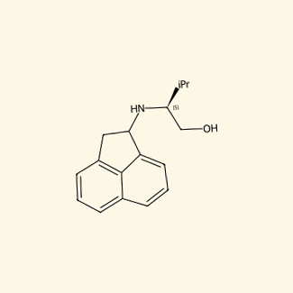 CC(C)[C@@H](CO)NC1Cc2cccc3cccc1c23